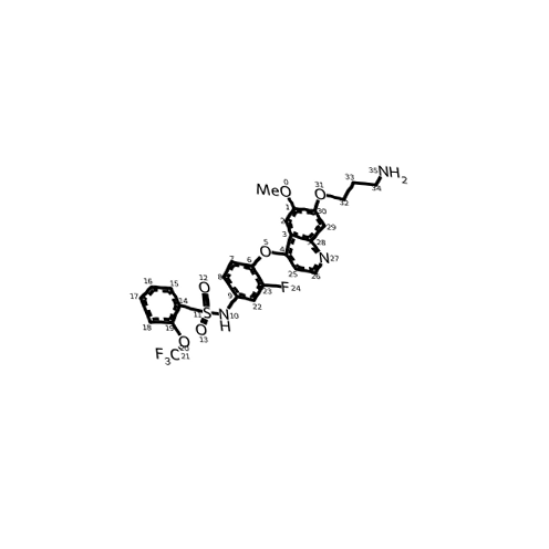 COc1cc2c(Oc3ccc(NS(=O)(=O)c4ccccc4OC(F)(F)F)cc3F)ccnc2cc1OCCCN